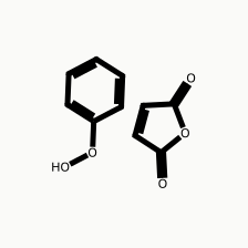 O=C1C=CC(=O)O1.OOc1ccccc1